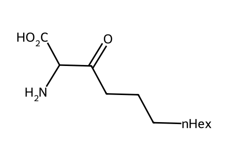 CCCCCCCCCC(=O)C(N)C(=O)O